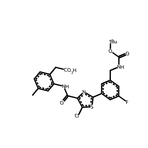 Cc1ccc(CC(=O)O)c(NC(=O)c2nc(-c3cc(F)cc(CNC(=O)OC(C)(C)C)c3)sc2Cl)c1